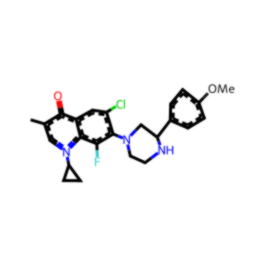 COc1ccc(C2CN(c3c(Cl)cc4c(=O)c(C)cn(C5CC5)c4c3F)CCN2)cc1